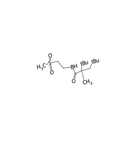 CC(C)(C)CC(C)(C(=O)BCCS(C)(=O)=O)C(C)(C)C